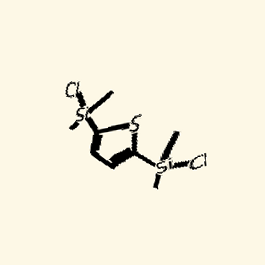 C[Si](C)(Cl)c1ccc([Si](C)(C)Cl)s1